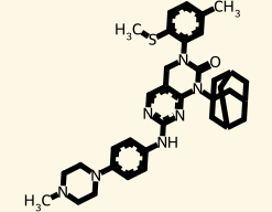 CSc1ccc(C)cc1N1Cc2cnc(Nc3ccc(N4CCN(C)CC4)cc3)nc2N(C23CC4CC(CC(C4)C2)C3)C1=O